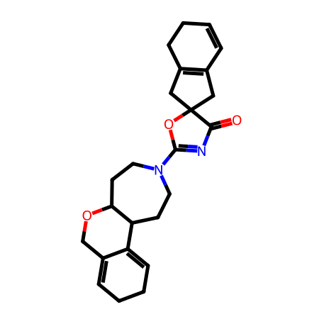 O=C1N=C(N2CCC3OCC4=CCCC=C4C3CC2)OC12CC1=C(CCC=C1)C2